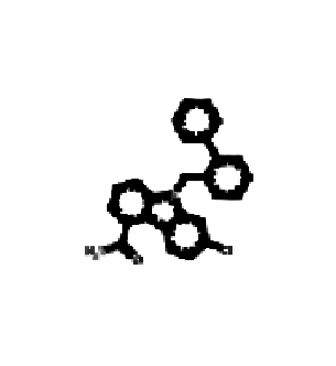 NC(=O)c1cccc2c1c1[c]cc(Cl)cc1n2Cc1ccccc1-c1ccccc1